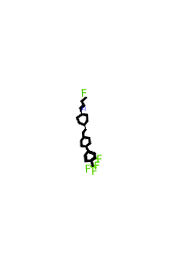 FCC/C=C/[C@H]1CC[C@H](CCC2CCC(c3ccc(C(F)(F)F)c(F)c3)CC2)CC1